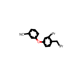 CC(C)Cc1ccc(Oc2cccc(C#N)c2)cc1C(C)C